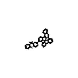 CC1(C)c2ccccc2Oc2ccc(-c3ccc4c(c3)C3(c5ccccc5-c5ccccc53)c3ccc5ccccc5c3-4)cc21